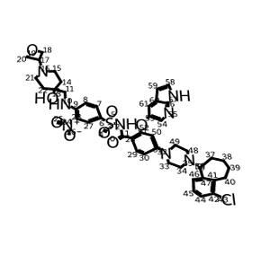 O=C(NS(=O)(=O)c1ccc(NCC2(O)CCN(C3COC3)CC2)c([N+](=O)[O-])c1)c1ccc(N2CCN([C@@H]3CCCCc4c(Cl)cccc43)CC2)cc1Oc1cnc2[nH]ccc2c1